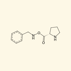 O=C(ONCc1ccccc1)[C@@H]1CCCN1